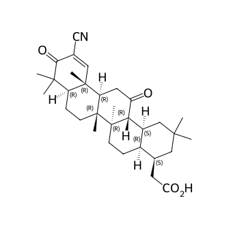 CC1(C)C[C@@H](CC(=O)O)[C@H]2CC[C@]3(C)[C@H](C(=O)C[C@@H]4[C@@]5(C)C=C(C#N)C(=O)C(C)(C)[C@@H]5CC[C@]43C)[C@H]2C1